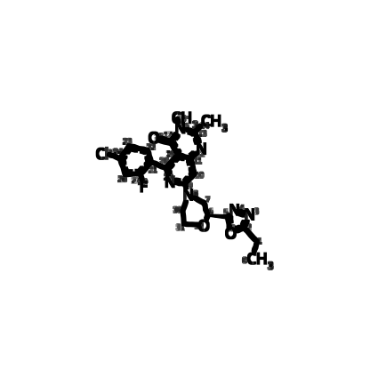 CCc1nnc([C@@H]2CN(c3cc4nc(C)n(C)c(=O)c4c(-c4ccc(Cl)cc4F)n3)CCO2)o1